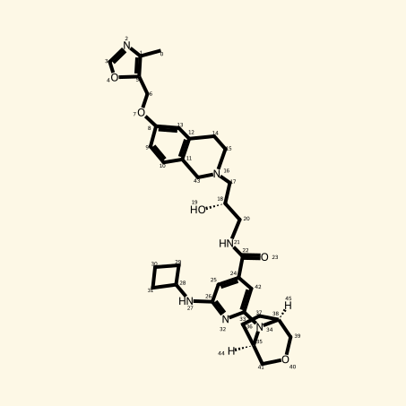 Cc1ncoc1COc1ccc2c(c1)CCN(C[C@@H](O)CNC(=O)c1cc(NC3CCC3)nc(N3[C@@H]4CC[C@H]3COC4)c1)C2